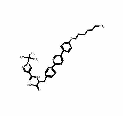 CCCCCCCOc1ccc(-c2cnc(-c3ccc(CC(NC(=O)c4cnn(C(C)(C)C)c4)C(=O)O)cc3)nc2)cc1